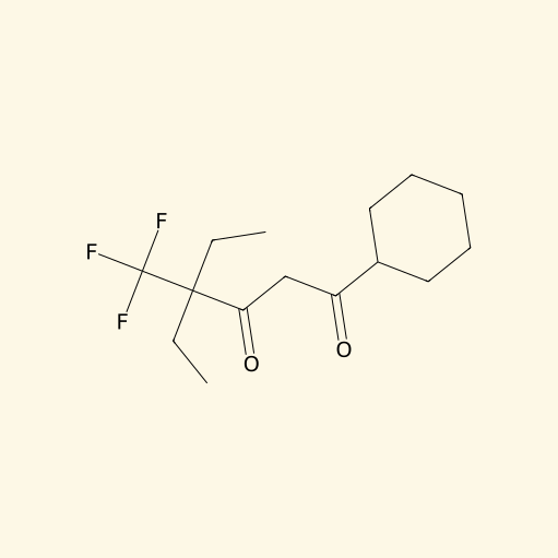 CCC(CC)(C(=O)CC(=O)C1CCCCC1)C(F)(F)F